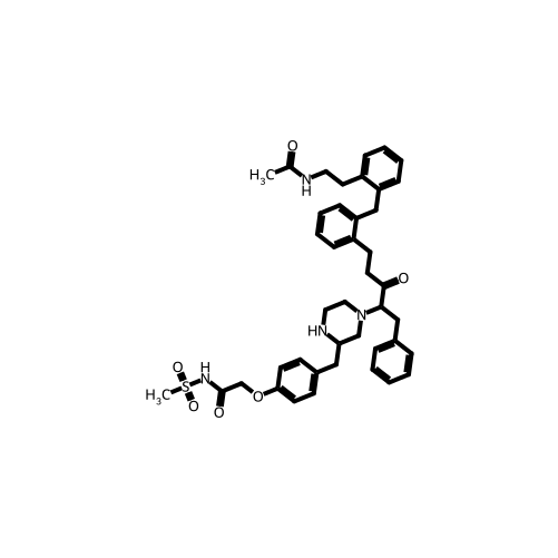 CC(=O)NCCc1ccccc1Cc1ccccc1CCC(=O)C(Cc1ccccc1)N1CCNC(Cc2ccc(OCC(=O)NS(C)(=O)=O)cc2)C1